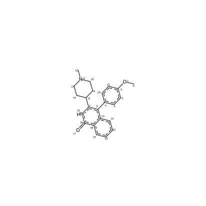 COc1ccc(-c2c(C3CCN(C)CC3)[nH]c(=O)c3ccccc23)cc1